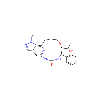 CCn1ncc2cc3nc(c21)CCCOC(C(C)O)C(c1ccccc1)NC(=O)N3